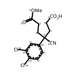 COC(=O)CCC(C#N)(CCC(=O)O)c1ccc(Cl)c(Cl)c1